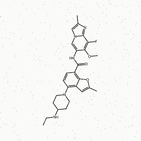 CCNC1CCN(c2ccc(C(=O)Nc3cn4cc(C)nc4c(F)c3OC)c3oc(C)cc23)CC1